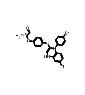 C[C@H](C=O)Oc1ccc(OC2=CNc3cc(Cl)ccc3N2c2ccc(Br)cc2)cc1